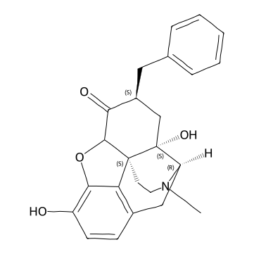 CN1CC[C@]23c4c5ccc(O)c4OC2C(=O)[C@@H](Cc2ccccc2)C[C@@]3(O)[C@H]1C5